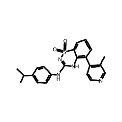 Cc1cnccc1-c1cccc2c1NC(Nc1ccc(C(C)C)cc1)=NS2(=O)=O